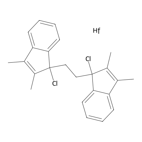 CC1=C(C)C(Cl)(CCC2(Cl)C(C)=C(C)c3ccccc32)c2ccccc21.[Hf]